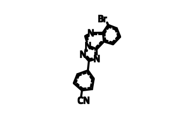 N#Cc1ccc(-c2nc3c4cccc(Br)c4ncn3n2)cc1